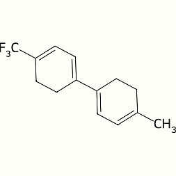 CC1=CC=C(C2=CC=C(C(F)(F)F)CC2)CC1